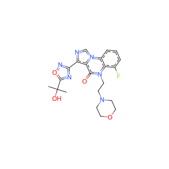 CC(C)(O)c1nc(-c2ncn3c2c(=O)n(CCN2CCOCC2)c2c(F)cccc23)no1